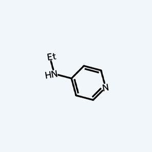 CCNc1ccncc1